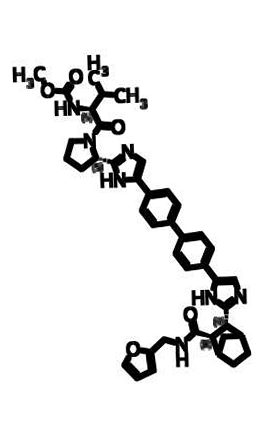 COC(=O)N[C@H](C(=O)N1CCC[C@H]1c1ncc(-c2ccc(-c3ccc(-c4cnc([C@@H]5C6CCC(C6)[C@H]5C(=O)NCc5ccco5)[nH]4)cc3)cc2)[nH]1)C(C)C